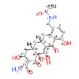 CC(C)(C)C(=O)NCc1ccc(O)c2c1C[C@H]1C[C@H]3CC(O)=C(C(N)=O)C(=O)[C@@]3(O)C(O)=C1C2=O